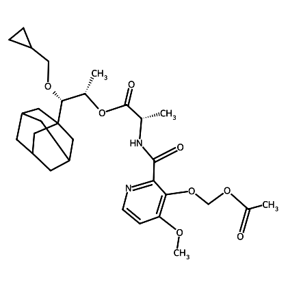 COc1ccnc(C(=O)N[C@@H](C)C(=O)O[C@@H](C)[C@@H](OCC2CC2)C23CC4CC(CC(C4)C2)C3)c1OCOC(C)=O